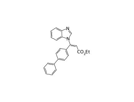 CCOC(=O)C=C(c1ccc(-c2ccccc2)cc1)n1cnc2ccccc21